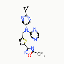 FC(F)(F)c1nc(-c2ccc(CN(c3cnc(C4CC4)nc3)c3cnccn3)s2)no1